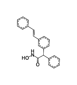 O=C(NO)C(c1ccccc1)c1cccc(/C=C/c2ccccc2)c1